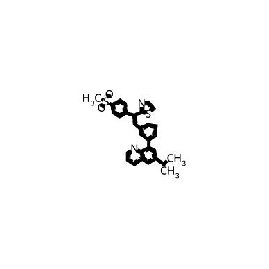 CC(C)c1cc(-c2cccc(C=C(c3ccc(S(C)(=O)=O)cc3)c3nccs3)c2)c2ncccc2c1